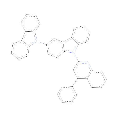 c1ccc(-c2cc(-n3c4ccccc4c4cc(-n5c6ccccc6c6ccccc65)ccc43)nc3ccccc23)cc1